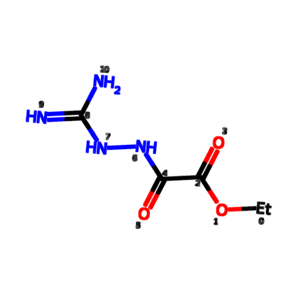 CCOC(=O)C(=O)NNC(=N)N